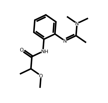 COC(C)C(=O)Nc1ccccc1N=C(C)N(C)C